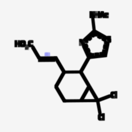 CC(=O)Nc1nc(C2C(/C=C/C(=O)O)CCC3C2C3(Cl)Cl)cs1